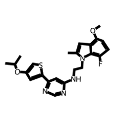 COc1ccc(F)c2c1cc(C)n2CCNc1cc(-c2cc(OC(C)C)cs2)ncn1